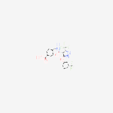 C[C@H](NC(=O)c1c(C(F)(F)F)nn(C)c1Oc1cccc(C(C)(F)F)c1)c1ccc(C(=O)O)cc1